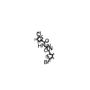 O=C(Nc1nnc(-c2ccc(Br)s2)o1)c1ccc(Cl)s1